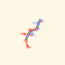 COc1cc(/N=N/c2ccc(NS(=O)(=O)c3ccc(/N=N/c4c(S(=O)(=O)O)cc5cc(SOOO)c(/N=N/c6ccc(S(=O)(=O)CCOSOOO)cc6)c(O)c5c4N)cc3)cc2)c(N)cc1N